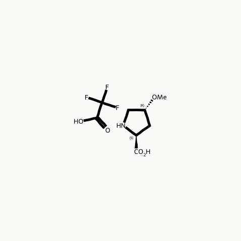 CO[C@H]1CN[C@H](C(=O)O)C1.O=C(O)C(F)(F)F